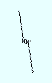 CCCCCCCCCCCCCCCCCC[N+]1(C)CC[N+](C)(CCCCCCCCCCCCCCCCCC)CC1